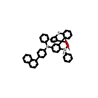 c1ccc(N(c2ccc(-c3cccc4ccccc34)cc2)c2ccc3c(c2)C2(c4ccccc4Sc4ccccc42)c2ccccc2[SiH]3c2ccccc2)cc1